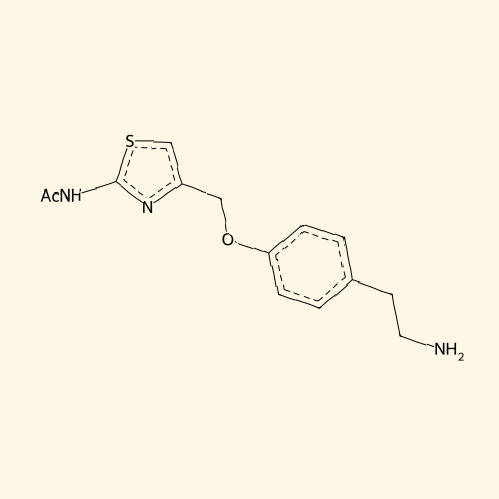 CC(=O)Nc1nc(COc2ccc(CCN)cc2)cs1